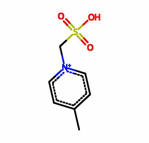 Cc1cc[n+](CS(=O)(=O)O)cc1